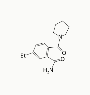 CCc1ccc(C(=O)N2CCCCC2)c(C(N)=O)c1